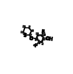 Oc1cc(F)c(OC2CCCCS2)cc1F